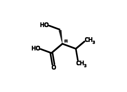 CC(C)[C@@H](CO)C(=O)O